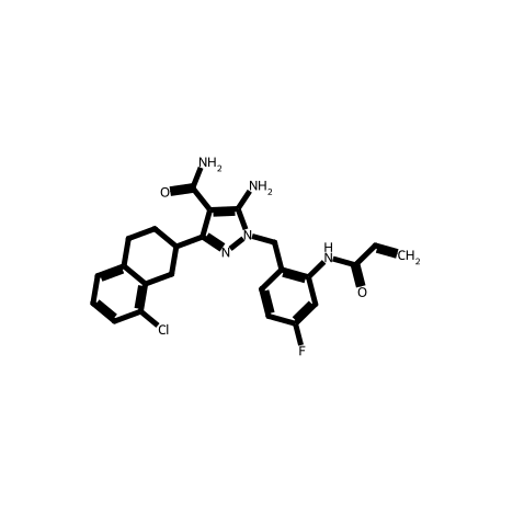 C=CC(=O)Nc1cc(F)ccc1Cn1nc(C2CCc3cccc(Cl)c3C2)c(C(N)=O)c1N